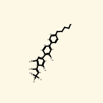 CCCCCc1ccc(-c2ccc(-c3cc(F)c(/C(F)=C/C(F)(F)F)c(F)c3)c(F)c2)cc1